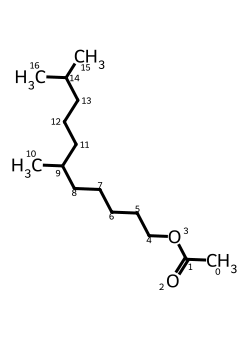 CC(=O)OCCCCCC(C)CCCC(C)C